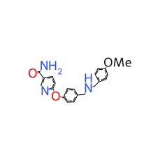 COc1ccc(CNCc2ccc(Oc3ccc(C(N)=O)cn3)cc2)cc1